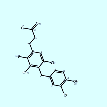 CC(C)c1cc(Cc2c(Cl)cc(CCC(=O)Cl)c(F)c2Cl)ccc1O